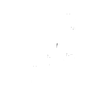 CCCC(F)OC(=O)[C@H]1C[C@@H](N)[C@H](CC(CCC)C(C)NC(C)=O)N1Cc1ccccc1